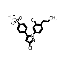 CCCc1ccc(-n2nc(Cl)cc2-c2ccc(S(C)(=O)=O)cc2)cc1Cl